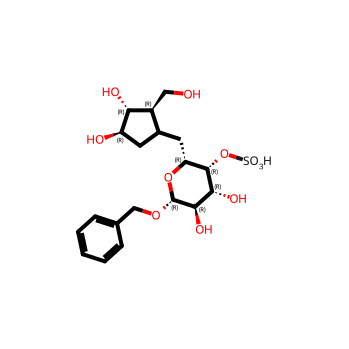 O=S(=O)(O)O[C@@H]1[C@H](O)[C@@H](O)[C@H](OCc2ccccc2)O[C@@H]1CC1C[C@@H](O)[C@H](O)[C@H]1CO